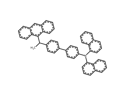 CC(c1ccc(-c2ccc(N(c3cccc4ccccc34)c3cccc4ccccc34)cc2)cc1)c1c2ccccc2cc2ccccc12